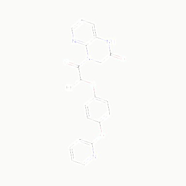 CCC(Oc1ccc(Oc2ccccn2)cc1)C(=O)N1CC(=O)Nc2cccnc21